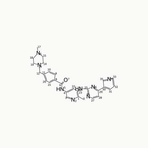 Cc1ncc(NC(=O)c2ccc(CN3CCN(C)CC3)cc2)cc1Nc1nccc(-c2cccnc2)n1